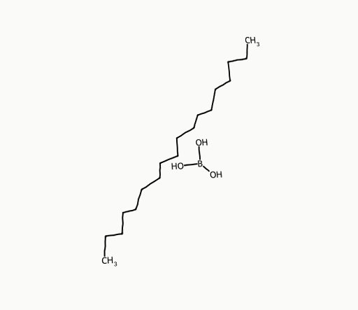 CCCCCCCCCCCCCCCCCC.OB(O)O